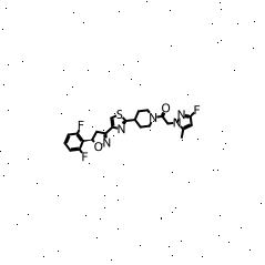 Cc1cc(F)nn1CC(=O)N1CCC(c2nc(C3=NO[C@@H](c4c(F)cccc4F)C3)cs2)CC1